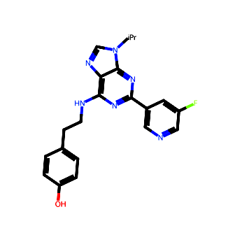 CC(C)n1cnc2c(NCCc3ccc(O)cc3)nc(-c3cncc(F)c3)nc21